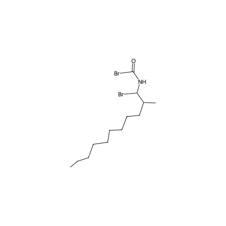 CCCCCCCCCC(C)C(Br)NC(=O)Br